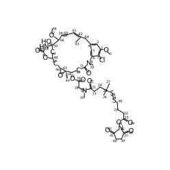 COc1cc2cc(c1Cl)N(C)C(=O)C[C@H](OC(=O)CN(C)C(=O)CCC(C)(C)SSCCCC(=O)ON1C(=O)CCC1=O)[C@]1(C)OC1CC1C[C@@](O)(NC(=O)O1)C(OC)/C=C/C=C(\C)C2